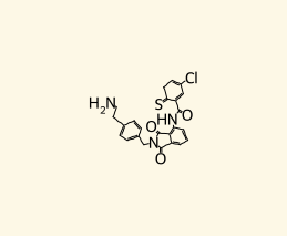 NCCc1ccc(CN2C(=O)c3cccc(NC(=O)C4=CC(Cl)=CCC4=S)c3C2=O)cc1